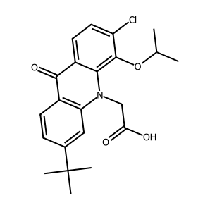 CC(C)Oc1c(Cl)ccc2c(=O)c3ccc(C(C)(C)C)cc3n(CC(=O)O)c12